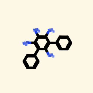 Nc1c(N)c(-c2ccccc2)c(N)c(-c2ccccc2)c1N